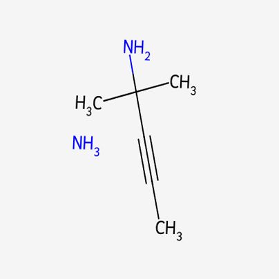 CC#CC(C)(C)N.N